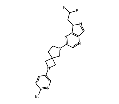 CCc1ncc(N2CC3(CCN(c4cnc5cnn(CC(F)F)c5n4)C3)C2)cn1